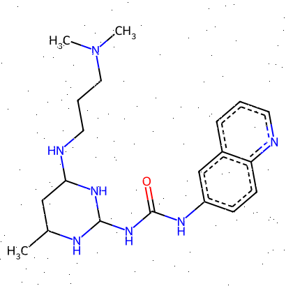 CC1CC(NCCCN(C)C)NC(NC(=O)Nc2ccc3ncccc3c2)N1